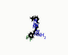 CC(C)(C)c1cccc(Cn2cc(-c3cc(-c4ccc(F)c(F)c4)nc(N)n3)nn2)n1